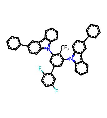 Fc1ccc(F)c(-c2cc(-n3c4ccccc4c4cc(-c5ccccc5)ccc43)c(C(F)(F)F)c(-n3c4ccccc4c4cc(-c5ccccc5)ccc43)c2)c1